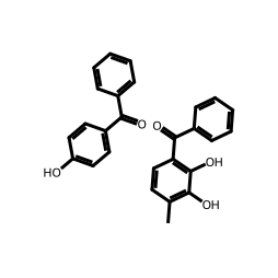 Cc1ccc(C(=O)c2ccccc2)c(O)c1O.O=C(c1ccccc1)c1ccc(O)cc1